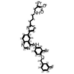 CC(C)C(CNCCCc1nc(-c2ccc3ncnc(Nc4ccc(OCc5cccc(F)c5)c(Br)c4)c3c2)cs1)=S(=O)=O